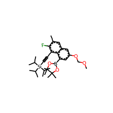 COCOc1cc(B2OC(C)(C)C(C)(C)O2)c2c(C#C[Si](C(C)C)(C(C)C)C(C)C)c(F)c(C)cc2c1